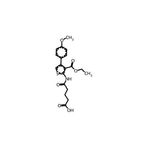 CCOC(=O)c1c(-c2ccc(OC)cc2)csc1NC(=O)CCCC(=O)O